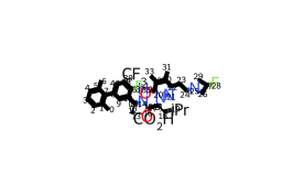 Cc1cccc(C)c1-c1cc([C@H](CC(=O)O)NC(=O)[C@H](CC(C)C)n2nc(CCN3CC(F)C3)c(C)c(C)c2=O)c(F)c(C(F)(F)F)c1